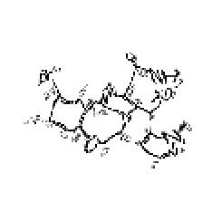 Cn1nccc1C(O)c1c(C(N)=O)nc2n1CCOc1cc(F)c(Br)cc1-2